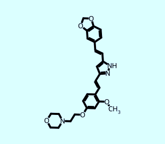 COc1cc(OCCN2CCOCC2)ccc1/C=C/c1cc(/C=C/c2ccc3c(c2)OCO3)[nH]n1